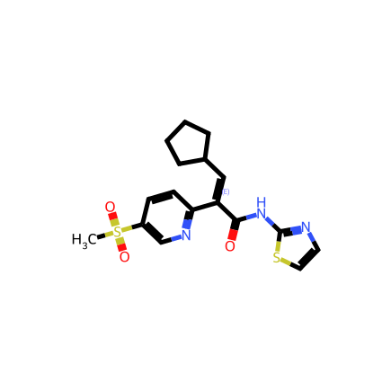 CS(=O)(=O)c1ccc(/C(=C\C2CCCC2)C(=O)Nc2nccs2)nc1